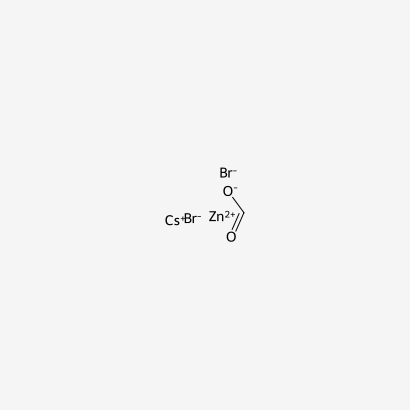 O=C[O-].[Br-].[Br-].[Cs+].[Zn+2]